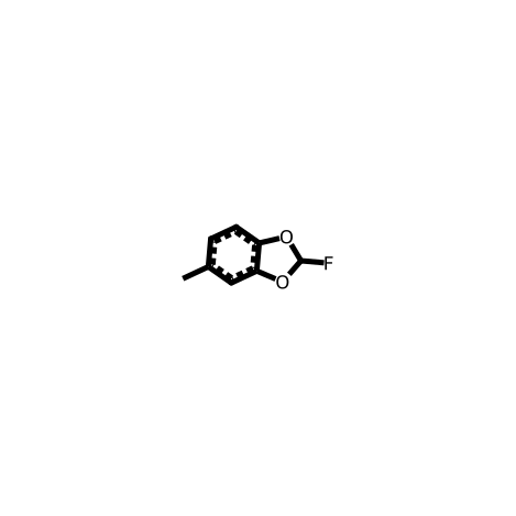 Cc1ccc2c(c1)OC(F)O2